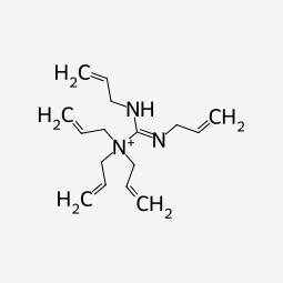 C=CC/N=C(\NCC=C)[N+](CC=C)(CC=C)CC=C